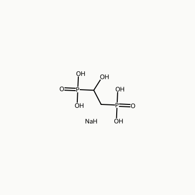 O=P(O)(O)CC(O)P(=O)(O)O.[NaH]